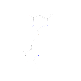 CC1=NC(CSc2nc(C)cc(O)n2)CO1